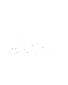 CCCCCc1c(CC[C@H]2CC[C@H](CCCCC)CC2)sc2ccsc12